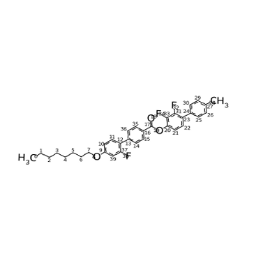 CCCCCCCCOc1ccc(-c2ccc(C(=O)Oc3ccc(-c4ccc(C)cc4)c(F)c3F)cc2)c(F)c1